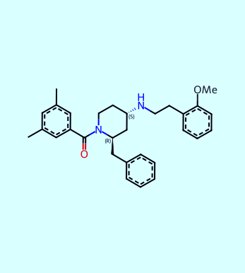 COc1ccccc1CCN[C@H]1CCN(C(=O)c2cc(C)cc(C)c2)[C@H](Cc2ccccc2)C1